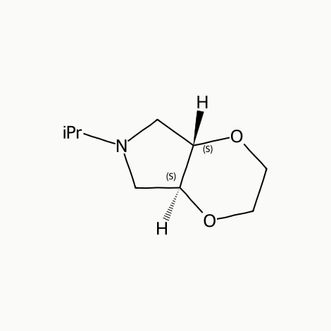 CC(C)N1C[C@@H]2OCCO[C@H]2C1